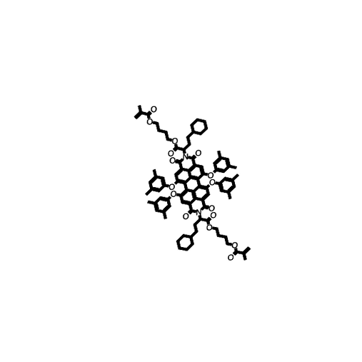 C=C(C)C(=O)OCCCCOC(=O)C(CCC1CCCCC1)N1C(=O)c2cc(Oc3cc(C)cc(C)c3)c3c4c(Oc5cc(C)cc(C)c5)cc5c6c(cc(Oc7cc(C)cc(C)c7)c(c7c(Oc8cc(C)cc(C)c8)cc(c2c37)C1=O)c64)C(=O)N(C(CCC1CCCCC1)C(=O)OCCCCOC(=O)C(=C)C)C5=O